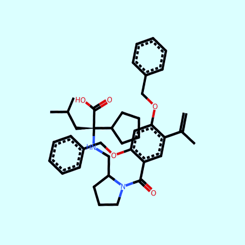 C=C(C)c1cc(C(=O)N2CCCC2CN[C@](CC(C)C)(C(=O)O)C2CCCC2)c(OCc2ccccc2)cc1OCc1ccccc1